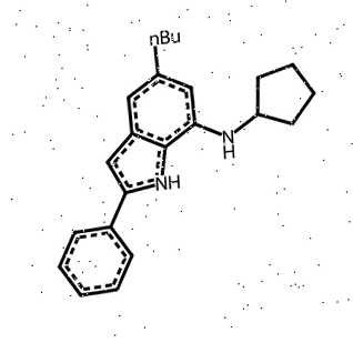 CCCCc1cc(NC2CCCC2)c2[nH]c(-c3ccccc3)cc2c1